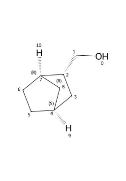 OC[C@@H]1C[C@H]2CC[C@@H]1C2